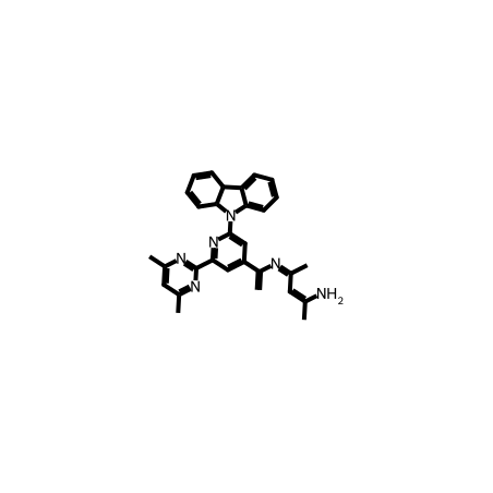 C=C(/N=C(C)\C=C(\C)N)c1cc(-c2nc(C)cc(C)n2)nc(N2c3ccccc3C3C=CC=CC32)c1